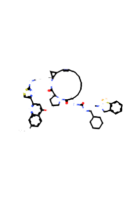 COc1ccc2c(O[C@@H]3C[C@H]4C(=O)N[C@]5(C(=O)O)CC5/C=C\CCCCC[C@H](NC(=O)N[C@H](CN5Cc6ccccc6S5(=O)=O)C5CCCCC5)C(=O)N4C3)cc(-c3csc(NC(C)C)n3)nc2c1